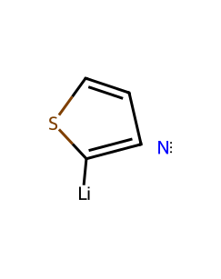 [Li][c]1cccs1.[N]